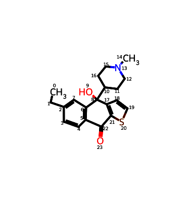 CCc1ccc2c(c1)C(O)(C1CCN(C)CC1)c1ccsc1C2=O